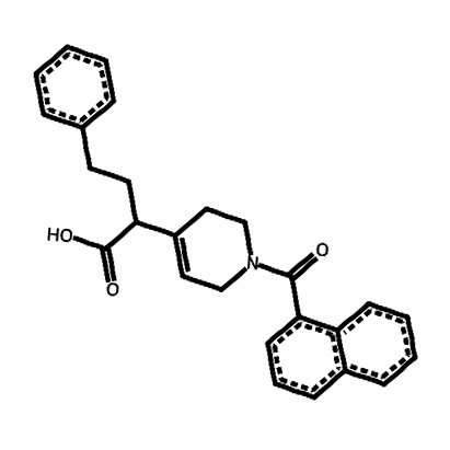 O=C(O)C(CCc1ccccc1)C1=CCN(C(=O)c2cccc3ccccc23)CC1